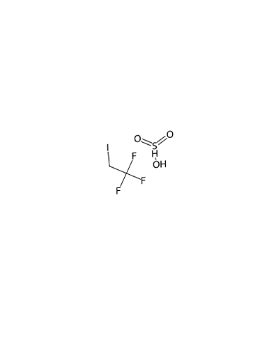 FC(F)(F)CI.O=[SH](=O)O